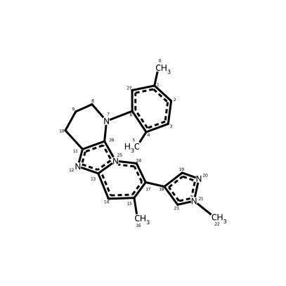 Cc1ccc(C)c(N2CCCc3nc4cc(C)c(-c5cnn(C)c5)cn4c32)c1